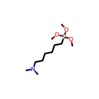 CO[Si](CCCCCCN(C)C)(OC)OC